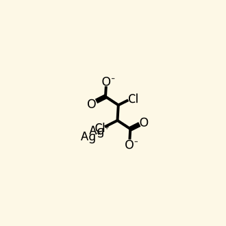 O=C([O-])C(Cl)C(Cl)C(=O)[O-].[Ag+].[Ag+]